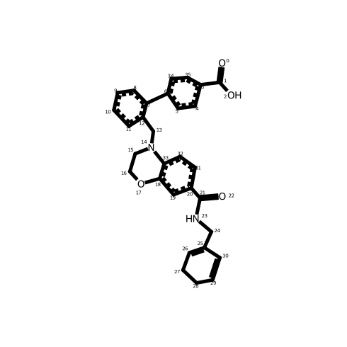 O=C(O)c1ccc(-c2ccccc2CN2CCOc3cc(C(=O)NCC4=CCCC=C4)ccc32)cc1